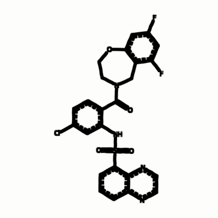 O=C(c1ccc(Cl)cc1NS(=O)(=O)c1cccc2nccnc12)N1CCOc2cc(F)cc(F)c2C1